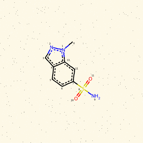 Cn1ncc2ccc(S(N)(=O)=O)cc21